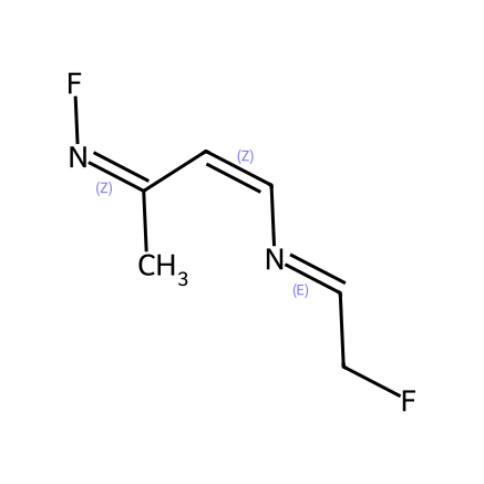 CC(/C=C\N=C\CF)=N/F